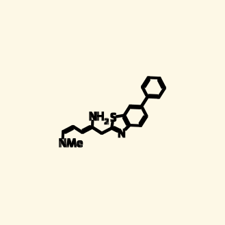 CN/C=C\C=C(/N)Cc1nc2ccc(-c3ccccc3)cc2s1